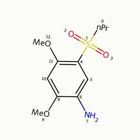 CCCS(=O)(=O)c1cc(N)c(OC)cc1OC